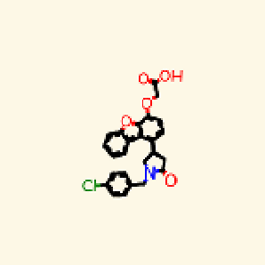 O=C(O)COc1ccc(C2CC(=O)N(Cc3ccc(Cl)cc3)C2)c2c1oc1ccccc12